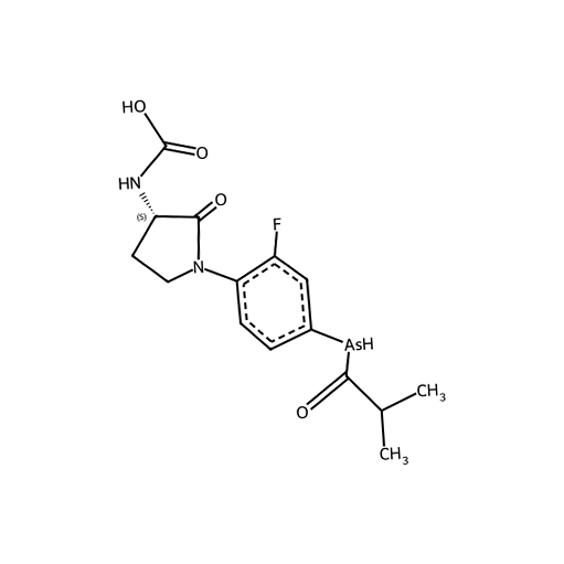 CC(C)C(=O)[AsH]c1ccc(N2CC[C@H](NC(=O)O)C2=O)c(F)c1